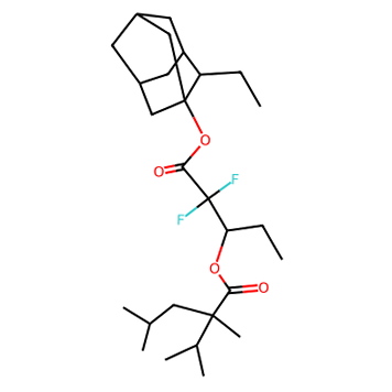 CCC1C2CC3CC(C2)CC1(OC(=O)C(F)(F)C(CC)OC(=O)C(C)(CC(C)C)C(C)C)C3